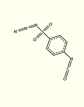 [N-]=[N+]=NS(=O)(=O)c1ccc(N=C=O)cc1